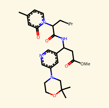 COC(=O)CC(NC(=O)C(CC(C)C)n1ccc(C)cc1=O)c1cncc(N2CCOC(C)(C)C2)c1